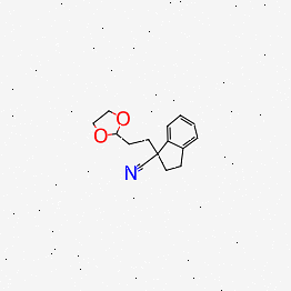 N#CC1(CCC2OCCO2)CCc2ccccc21